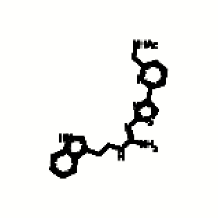 CC(=O)NCc1cccc(-c2csc(N=C(N)NCCc3c[nH]c4ccccc34)n2)n1